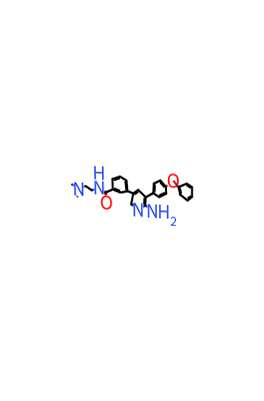 CN(C)CCNC(=O)c1cccc(-c2cnc(N)c(-c3ccc(Oc4ccccc4)cc3)c2)c1